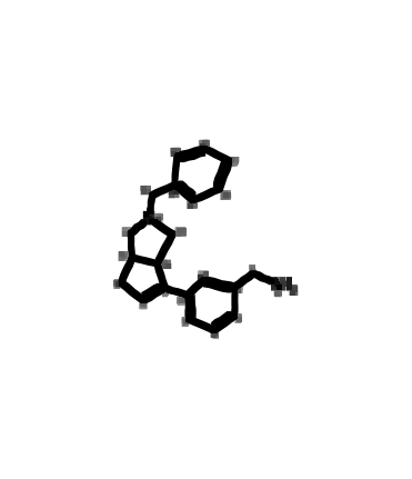 NCc1cccc(C2=CCC3CN(Cc4ccccc4)CC23)c1